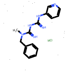 CN(Cc1ccccc1)C(=N)NC(=N)Nc1cccnc1.Cl